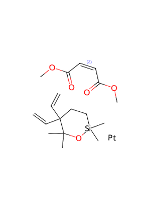 C=CC1(C=C)CC[Si](C)(C)OC1(C)C.COC(=O)/C=C\C(=O)OC.[Pt]